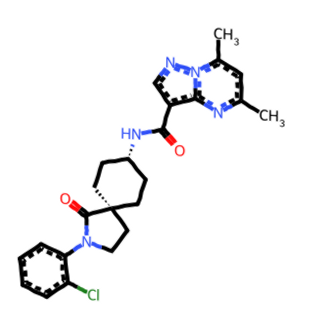 Cc1cc(C)n2ncc(C(=O)N[C@H]3CC[C@@]4(CCN(c5ccccc5Cl)C4=O)CC3)c2n1